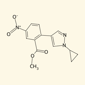 COC(=O)c1cc([N+](=O)[O-])ccc1-c1cnn(C2CC2)c1